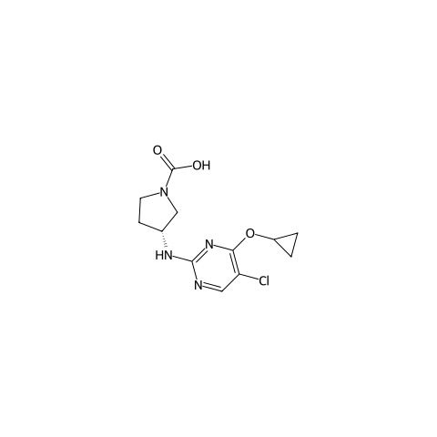 O=C(O)N1CC[C@@H](Nc2ncc(Cl)c(OC3CC3)n2)C1